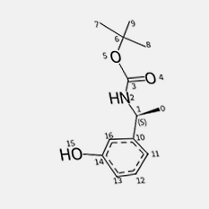 C[C@H](NC(=O)OC(C)(C)C)c1cccc(O)c1